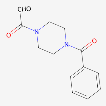 O=CC(=O)N1CCN(C(=O)c2ccccc2)CC1